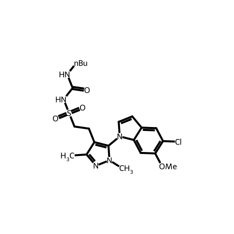 CCCCNC(=O)NS(=O)(=O)CCc1c(C)nn(C)c1-n1ccc2cc(Cl)c(OC)cc21